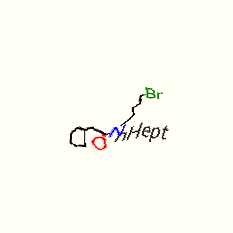 CCCCCCCN(CCCCCBr)C(=O)CC1CCCCC1